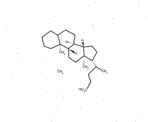 C.CC(CCC(=O)O)[C@H]1CC[C@H]2[C@@H]3CCC4CCCC[C@]4(C)[C@H]3CC[C@]12C